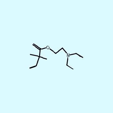 C=C(OCCN(CC)CC)C(C)(C)CC